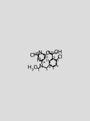 CCN(Cc1ccc(Cl)c(C(=O)O)c1)c1ccnc(Cl)n1